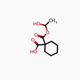 CC(O)OC(=O)C1(C(=O)O)CCCCC1